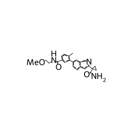 COCCNC(=O)c1ccc(C)c(-c2ccc3cc(C4(C(N)=O)CC4)ncc3c2)c1